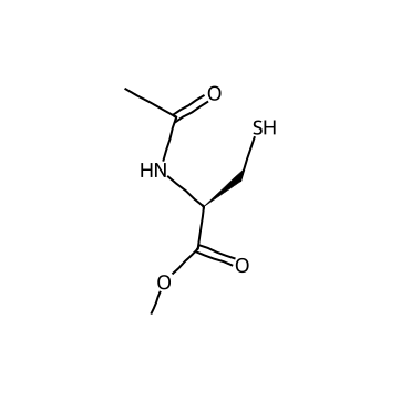 COC(=O)[C@H](CS)NC(C)=O